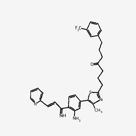 Cc1nc(CCCC(=O)CCCc2cccc(C(F)(F)F)c2)sc1-c1ccc(C(=N)/C=C/c2ccccn2)c(N)c1